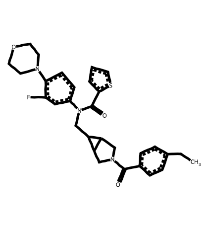 CCc1ccc(C(=O)N2CC3C(C2)C3CN(C(=O)c2cccs2)c2ccc(N3CCOCC3)c(F)c2)cc1